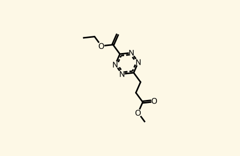 C=C(OCC)c1nnc(CCC(=O)OC)nn1